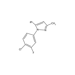 Cc1cc(C(C)C)n(-c2ccc(Cl)c(F)c2)n1